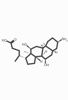 CC(CCC(=O)O)[C@H]1CC[C@H]2[C@@H]3[C@H](O)C[C@@H]4C[C@H](N)CC[C@]4(C)[C@H]3C[C@H](O)[C@]12C